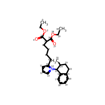 CCOC(=O)C(CCCCc1cccn1C1c2ccccc2CCC1C)C(=O)OCC